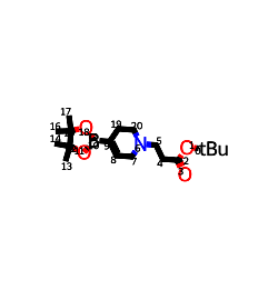 CC(C)(C)OC(=O)CCN1CC=C(B2OC(C)(C)C(C)(C)O2)CC1